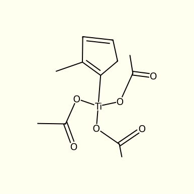 CC(=O)[O][Ti]([O]C(C)=O)([O]C(C)=O)[C]1=C(C)C=CC1